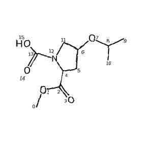 COC(=O)C1CC(OC(C)C)CN1C(=O)O